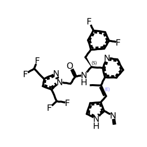 C=Nc1[nH]ccc1/C=C(\C)c1cccnc1[C@H](Cc1cc(F)cc(F)c1)NC(=O)Cn1nc(C(F)F)cc1C(F)F